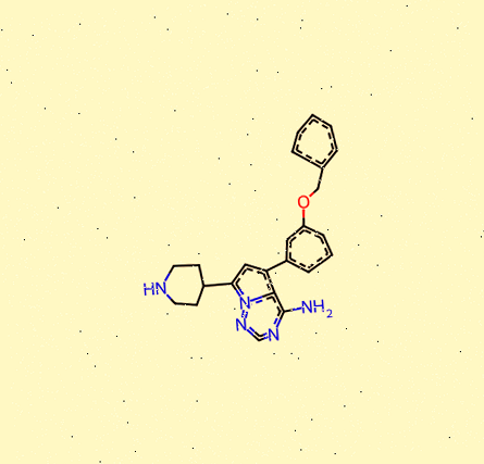 Nc1ncnn2c(C3CCNCC3)cc(-c3cccc(OCc4ccccc4)c3)c12